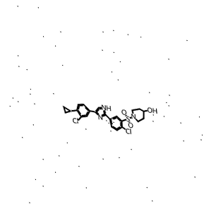 O=S(=O)(c1cc(-c2nc(-c3ccc(C4CC4)c(Cl)c3)c[nH]2)ccc1Cl)N1CCC(O)CC1